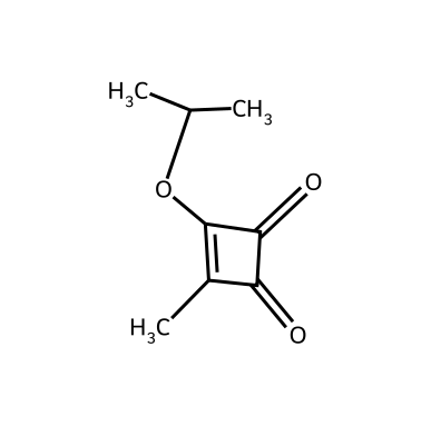 Cc1c(OC(C)C)c(=O)c1=O